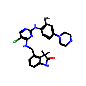 COc1cc(N2CCNCC2)ccc1Nc1ncc(Cl)c(NCc2cccc3c2C(C)(C)C(=O)N3)n1